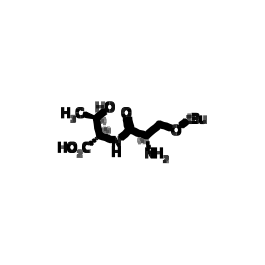 C[C@@H](O)[C@H](NC(=O)[C@@H](N)COC(C)(C)C)C(=O)O